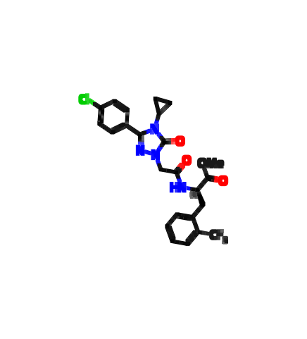 COC(=O)[C@@H](Cc1ccccc1C(F)(F)F)NC(=O)Cn1nc(-c2ccc(Cl)cc2)n(C2CC2)c1=O